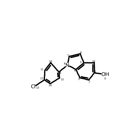 Oc1ccc2c(ccn2-c2ccc(Cl)cc2)c1